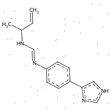 C=CC(C)NC=Nc1ccc(-c2c[nH]cn2)cc1